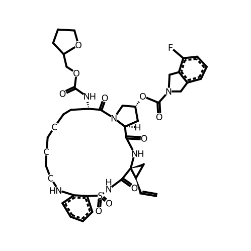 C=C[C@@H]1C[C@@]12NC(=O)[C@@H]1C[C@@H](OC(=O)N3Cc4cccc(F)c4C3)CN1C(=O)[C@@H](NC(=O)OCC1CCCO1)CCCCCCCNc1ccccc1S(=O)(=O)NC2=O